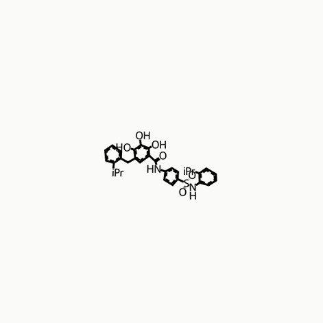 CC(C)c1ccccc1Cc1cc(C(=O)Nc2ccc(S(=O)(=O)Nc3ccccc3C(C)C)cc2)c(O)c(O)c1O